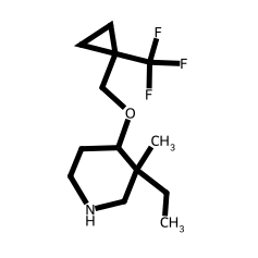 CCC1(C)CNCCC1OCC1(C(F)(F)F)CC1